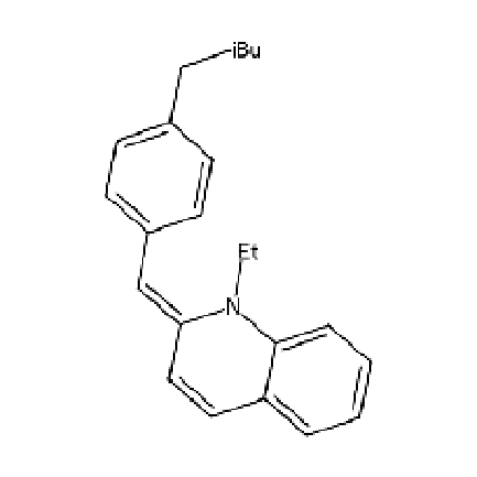 CCC(C)Cc1ccc(/C=C2/C=Cc3ccccc3N2CC)cc1